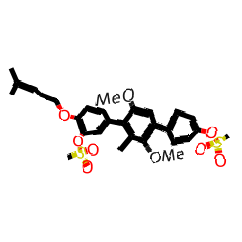 COc1cc(-c2ccc(OS(C)(=O)=O)cc2)c(OC)c(C)c1-c1ccc(OCCC=C(C)C)c(OS(C)(=O)=O)c1